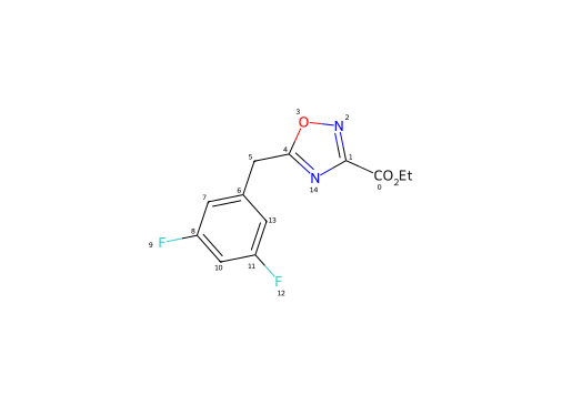 CCOC(=O)c1noc(Cc2cc(F)cc(F)c2)n1